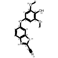 COc1cc(Oc2ccc3nc(C#N)sc3c2)cc(OC)c1O